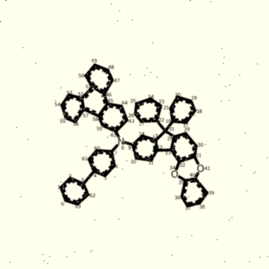 c1ccc(-c2ccc(N(c3ccc4c(c3)C(c3ccccc3)(c3ccccc3)c3ccc5c(c3-4)Oc3ccccc3O5)c3ccc4c5ccccc5c5ccccc5c4c3)cc2)cc1